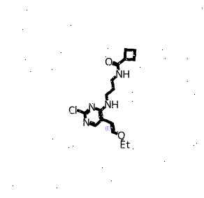 CCO/C=C/c1cnc(Cl)nc1NCCCNC(=O)C1CCC1